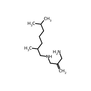 C=C(CN)CNCC(C)CCCC(C)C